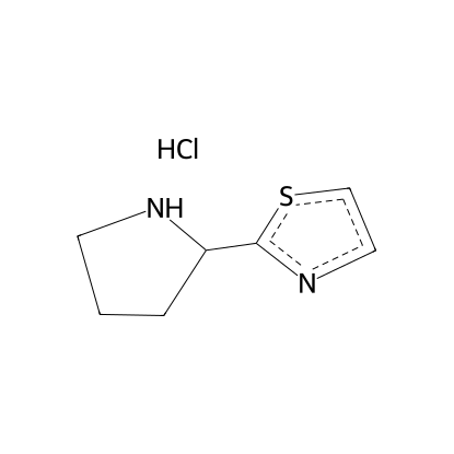 Cl.c1csc(C2CCCN2)n1